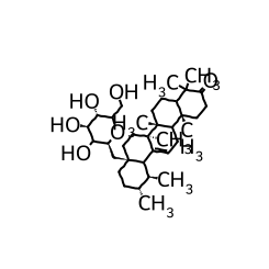 C[C@@H]1CC[C@]2(C[C@@H]3OC(CO)[C@@H](O)[C@H](O)C3O)CC[C@]3(C)C(=CCC4[C@@]5(C)CCC(=O)C(C)(C)C5CC[C@]43C)C2[C@H]1C